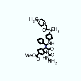 COC(=O)c1ccc2c(c1)N(C(=O)NN)C(=O)/C2=C(\Nc1ccc(N(C)C(=O)CN2CCN(C)CC2)cc1)c1ccccc1